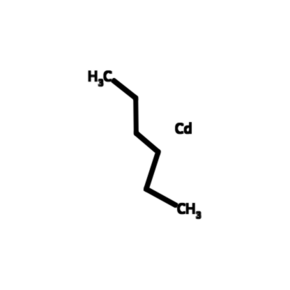 CCCCCC.[Cd]